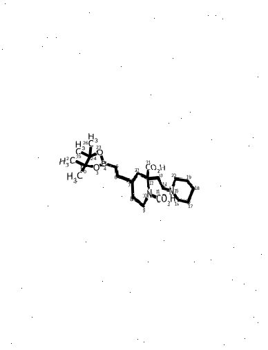 CC1(C)OB(CCC2CCN(C(=O)O)C(CCN3CCCCC3)(C(=O)O)C2)OC1(C)C